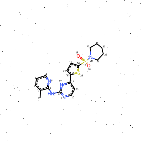 Cc1cccnc1Nc1nccc(-c2ccc(S(=O)(=O)N3CCCCC3)s2)n1